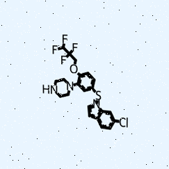 FC(F)C(F)(F)COc1ccc(Sn2ccc3ccc(Cl)cc32)cc1N1CCNCC1